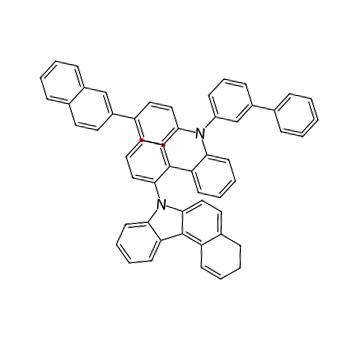 C1=C=CC(c2cccc(N(c3ccc(-c4ccc5ccccc5c4)cc3)c3ccccc3-c3ccccc3-n3c4ccccc4c4c5c(ccc43)CCC=C5)c2)=CC=1